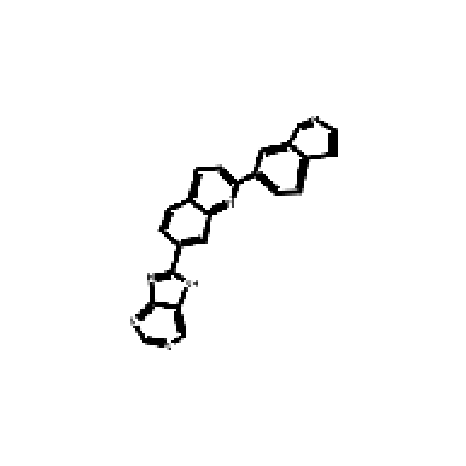 c1cc2ccc(-c3ccc4ccc(-c5nc6ncncc6[nH]5)cc4n3)cc2cn1